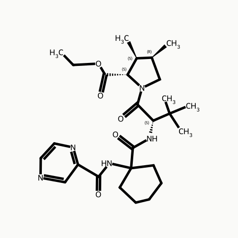 CCOC(=O)[C@@H]1[C@@H](C)[C@@H](C)CN1C(=O)[C@@H](NC(=O)C1(NC(=O)c2cnccn2)CCCCC1)C(C)(C)C